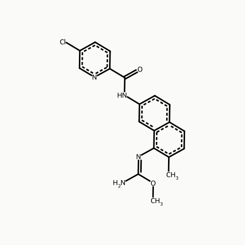 CO/C(N)=N\c1c(C)ccc2ccc(NC(=O)c3ccc(Cl)cn3)cc12